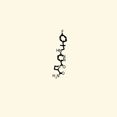 CC(C)(CNc1ccc(C(=O)N2CCC2C(N)=O)nn1)c1ccc(F)cc1